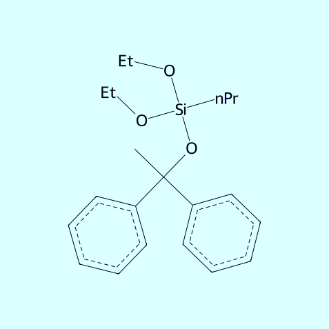 CCC[Si](OCC)(OCC)OC(C)(c1ccccc1)c1ccccc1